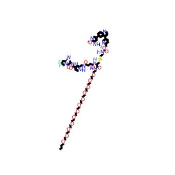 CCCCOCCOCCOCCOCCOCCOCCOCCOCCOCCOCCOCCOCCNC(=O)C(CSSCCNC(=O)OCc1ccc(-c2ccnc3ccc(-c4cnc(OC)c(N)c4)cc23)cn1)NC(=O)CCC(=O)NCc1cc(C(=O)NC(C)C(=O)N2CC(F)(F)C[C@H]2C#N)ccn1